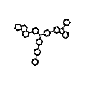 c1ccc(-c2ccc(-c3ccc(N(c4ccc(-c5ccc6c(c5)c5ccccc5n6-c5ccccc5)cc4)c4cccc(-c5cccc6c5ccc5ccccc56)c4)cc3)cc2)cc1